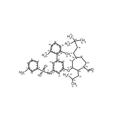 Cc1cccc(S(=O)(=O)Nc2nc(OC3CN(CCC(C)(C)C)CCN(C=O)C3CC(C)C)cc(-c3c(C)cccc3C)n2)c1